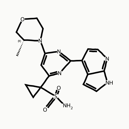 C[C@@H]1COCCN1c1cc(C2(S(N)(=O)=O)CC2)nc(-c2ccnc3[nH]ccc23)n1